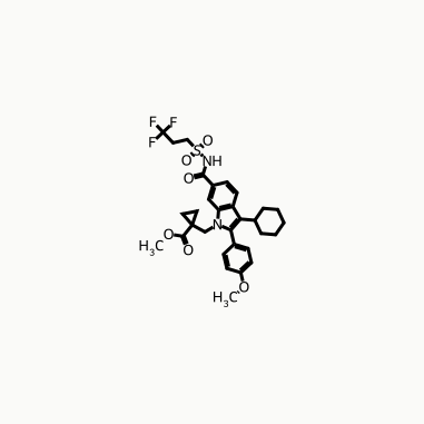 COC(=O)C1(Cn2c(-c3ccc(OC)cc3)c(C3CCCCC3)c3ccc(C(=O)NS(=O)(=O)CCC(F)(F)F)cc32)CC1